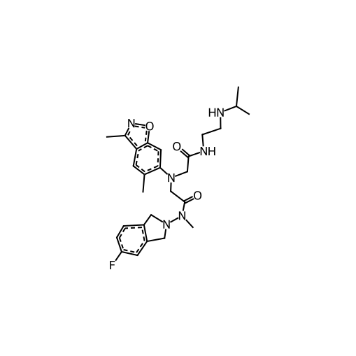 Cc1cc2c(C)noc2cc1N(CC(=O)NCCNC(C)C)CC(=O)N(C)N1Cc2ccc(F)cc2C1